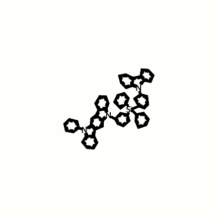 c1ccc(-n2c3ccccc3c3cc4c(cc32)c2ccccc2n4-c2cccc([Si](c3ccccc3)(c3ccccc3)c3cccc(-n4c5ccccc5c5ccccc54)c3)c2)cc1